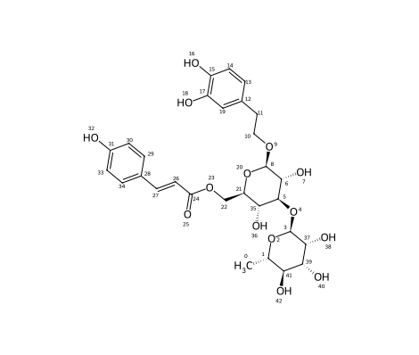 C[C@@H]1O[C@@H](O[C@@H]2[C@@H](O)[C@H](OCCc3ccc(O)c(O)c3)O[C@H](COC(=O)/C=C/c3ccc(O)cc3)[C@H]2O)[C@H](O)[C@H](O)[C@H]1O